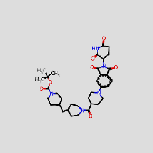 CC(C)(C)OC(=O)N1CCC(CC2CCN(C(=O)C3CCN(c4ccc5c(c4)C(=O)N(C4CCC(=O)NC4=O)C5=O)CC3)CC2)CC1